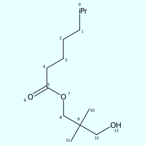 CC(C)CCCCC(=O)OCC(C)(C)CO